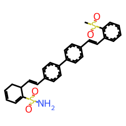 CS(=O)(=O)c1ccccc1/C=C/c1ccc(-c2ccc(/C=C/C3CC=CC=C3S(N)(=O)=O)cc2)cc1